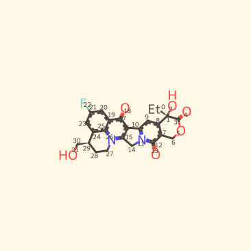 CC[C@@]1(O)C(=O)OCc2c1cc1n(c2=O)Cc2c-1c(=O)c1cc(F)cc3c1n2CC[C@H]3CO